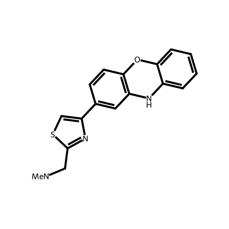 CNCc1nc(-c2ccc3c(c2)Nc2ccccc2O3)cs1